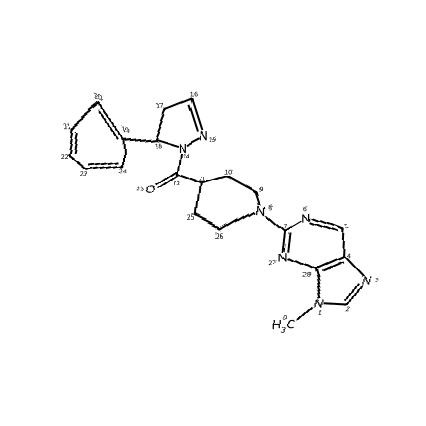 Cn1cnc2cnc(N3CCC(C(=O)N4N=CCC4c4ccccc4)CC3)nc21